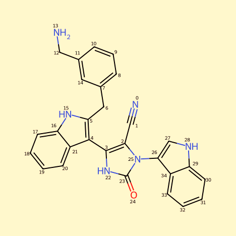 N#Cc1c(-c2c(Cc3cccc(CN)c3)[nH]c3ccccc23)[nH]c(=O)n1-c1c[nH]c2ccccc12